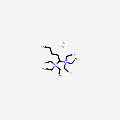 CCCCC([N+](CC)(CC)CC)[N+](CC)(CC)CC.[Br-].[Br-]